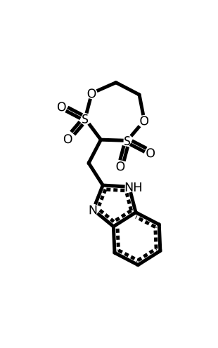 O=S1(=O)OCCOS(=O)(=O)C1Cc1nc2ccccc2[nH]1